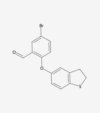 O=Cc1cc(Br)ccc1Oc1ccc2c(c1)CCS2